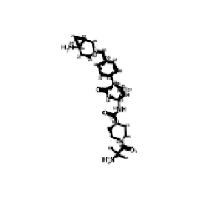 CC(C)(N)C(=O)N1CCN(C(=O)Nc2ccn(-c3ccc(CN4CCC5(N)CC5C4)cc3)c(=O)n2)CC1.Cl